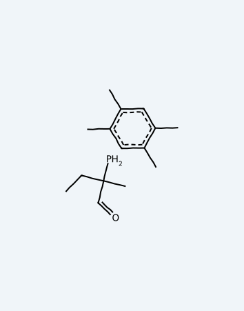 CCC(C)(P)C=O.Cc1cc(C)c(C)cc1C